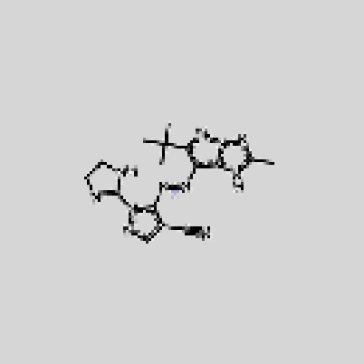 Cc1nn2nc(C(C)(C)C)c(/N=N/c3c(C#N)cnn3C3=NCCN3)c2[nH]1